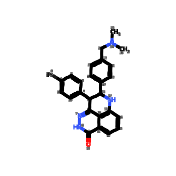 CC(C)c1ccc(C2c3n[nH]c(=O)c4cccc(c34)NC2c2ccc(CN(C)C)cc2)cc1